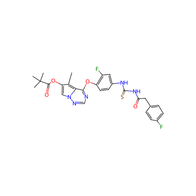 Cc1c(OC(=O)C(C)(C)C)cn2ncnc(Oc3ccc(NC(=S)NC(=O)Cc4ccc(F)cc4)cc3F)c12